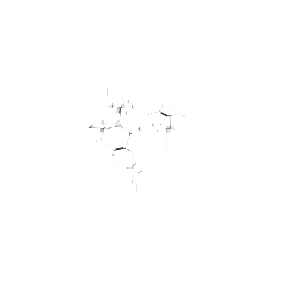 CO[C@@H]1C(O[Si](C)(C)C(C)(C)C)=CC[C@]2(CO2)[C@H]1C1(C)O[C@@H]1CC=C(C)C